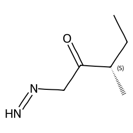 CC[C@H](C)C(=O)CN=N